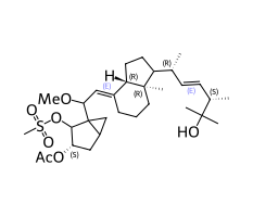 COC(/C=C1\CCC[C@]2(C)C([C@H](C)/C=C/[C@H](C)C(C)(C)O)CC[C@@H]12)C12CC1C[C@H](OC(C)=O)C2OS(C)(=O)=O